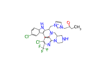 CCC(=O)Cn1cc[n+](CC2c3[nH]c4ccc(Cl)cc4c3CCN2CC2CNCCN2c2ccc(Cl)c(C(F)(F)F)n2)c1